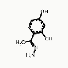 CC(=NN)c1ccc(O)cc1O